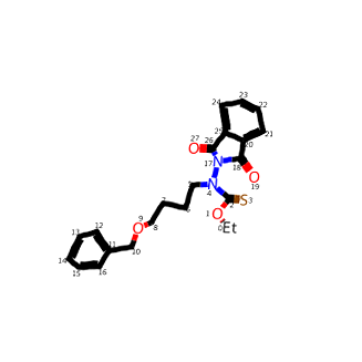 CCOC(=S)N(CCCCOCc1ccccc1)N1C(=O)c2ccccc2C1=O